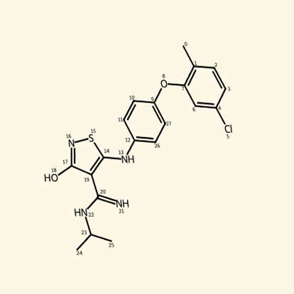 Cc1ccc(Cl)cc1Oc1ccc(Nc2snc(O)c2C(=N)NC(C)C)cc1